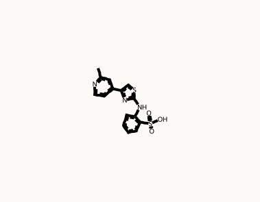 Cc1cc(-c2csc(Nc3ccccc3S(=O)(=O)O)n2)ccn1